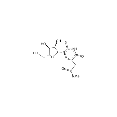 CNC(=O)Cc1cn([C@@H]2O[C@H](CO)[C@@H](O)[C@H]2O)c(=S)[nH]c1=O